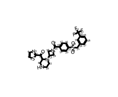 O=C(c1nccs1)C1CNCCN1C1CN(C(=O)c2ccc(S(=O)(=O)Cc3cccc(C(F)(F)F)c3)cc2)C1